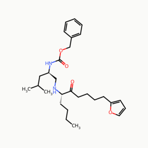 CCCC[C@H](NC[C@@H](CC(C)C)NC(=O)OCc1ccccc1)C(=O)CCCCc1ccco1